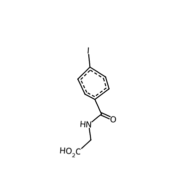 O=C(O)CNC(=O)c1ccc(I)cc1